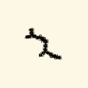 c1ccc(-c2ccc(N(c3ccc(-c4ccc(-c5cccc(-c6nc7cc8c(cc7o6)oc6cc(-c7ccc(N(c9ccc(-c%10ccccc%10)cc9)c9ccc%10ccccc%10c9)cc7)ccc68)c5)cc4)cc3)c3ccc(-c4ccc5c(c4)oc4cc6oc(-c7ccccc7)nc6cc45)cc3)cc2)cc1